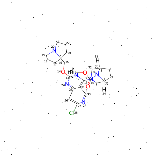 CC(C)(C)OC(=O)N1[C@@H]2CC[C@H]1CN(c1nc(OCC34CCCN3CCC4)nc3cc(Cl)ncc13)C2